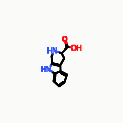 O=C(O)[C@H]1Cc2c([nH]c3ccccc23)CN1